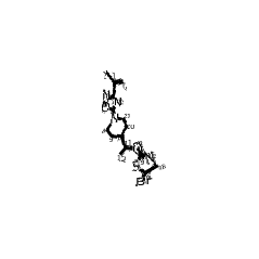 CC(C)c1noc(N2CCC(C(C)Oc3ncc(Br)s3)CC2)n1